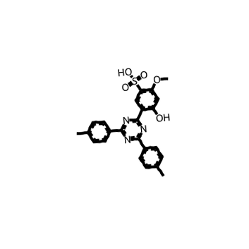 COc1cc(O)c(-c2nc(-c3ccc(C)cc3)nc(-c3ccc(C)cc3)n2)cc1S(=O)(=O)O